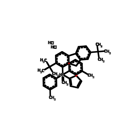 Cl.Cl.[CH2]=[Hf]([C]1=CC=CC1)([c]1cccc(C)c1)([c]1cccc(C)c1)[c]1c(C(C)(C)C)ccc2c1Cc1cc(C(C)(C)C)ccc1-2